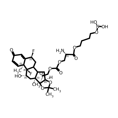 CC1(C)O[C@@H]2CC3C4C[C@H](F)C5=CC(=O)C=C[C@]5(C)[C@@]4(F)[C@@H](O)C[C@]3(C)[C@]2(C(=O)COC(=O)OC[C@H](N)C(=O)OCCCCON(O)O)O1